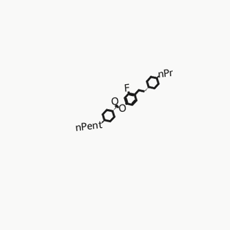 CCCCC[C@H]1CC[C@H](C(=O)Oc2ccc(CC[C@H]3CC[C@H](CCC)CC3)c(F)c2)CC1